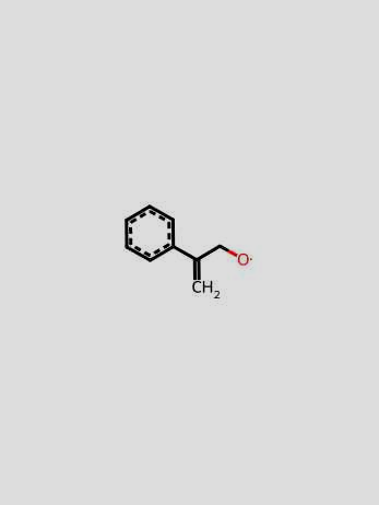 C=C(C[O])c1ccccc1